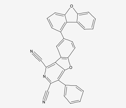 N#Cc1nc(C#N)c2c(oc3ccc(-c4cccc5oc6ccccc6c45)cc32)c1-c1ccccc1